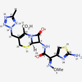 CO/N=C(/C(=O)N[C@@H]1C(=O)N2C(C(=O)O)=C(Cn3nnc(C)n3)CS[C@H]12)c1csc(N)n1